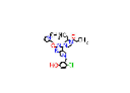 C=CC(=O)N1CCN(c2nc(OCC3CCCN3C)nc3c2CN(Cc2cc(O)ccc2Cl)C3)CC1CC#N